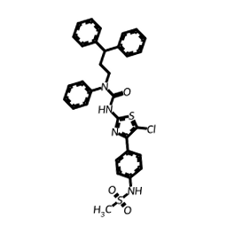 CS(=O)(=O)Nc1ccc(-c2nc(NC(=O)N(CCC(c3ccccc3)c3ccccc3)c3ccccc3)sc2Cl)cc1